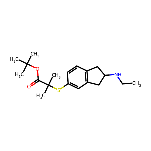 CCNC1Cc2ccc(SC(C)(C)C(=O)OC(C)(C)C)cc2C1